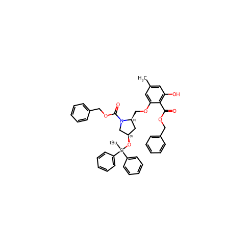 Cc1cc(O)c(C(=O)OCc2ccccc2)c(OC[C@H]2C[C@@H](O[Si](c3ccccc3)(c3ccccc3)C(C)(C)C)CN2C(=O)OCc2ccccc2)c1